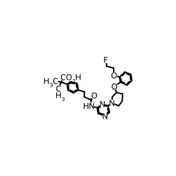 CC(C)(C(=O)O)c1ccc(CCC(=O)Nc2cncc(N3CCCC(Oc4ccccc4OCCF)C3)n2)cc1